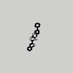 O=C(N[C@@H](Cc1ccc(-c2ccccc2)cc1)C(=O)O)c1cc2ccccc2cn1